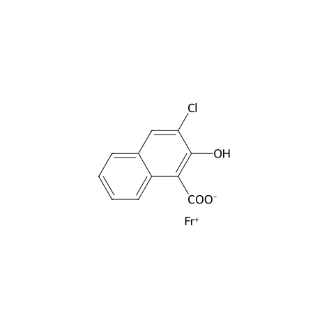 O=C([O-])c1c(O)c(Cl)cc2ccccc12.[Fr+]